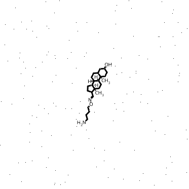 C[C@]12CCC(O)CC1CC[C@@H]1[C@H]2CC[C@]2(C)C(/C=N/OCCCCN)CC[C@@H]12